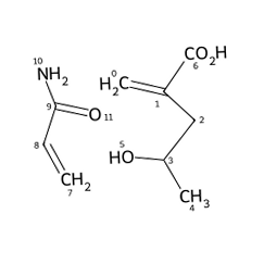 C=C(CC(C)O)C(=O)O.C=CC(N)=O